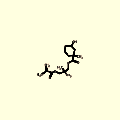 C=C(C)C(=O)OCC(C)(C)COC(=O)C1(C)CCCC(O)C1